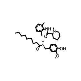 CCCCCCCCC(=O)NCc1ccc(O)c(OC)c1.Cc1cccc(C)c1NC(=O)C1CCCCN1C